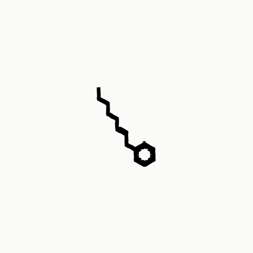 CCCCCC=CCc1[c]cccc1